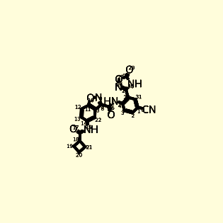 N#Cc1ccc(NC(=O)c2noc3ccc(NC(=O)C4CCC4)cc23)c(-c2noc(=O)[nH]2)c1